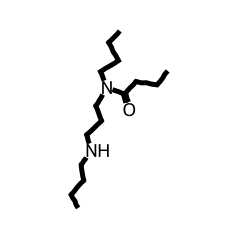 CCCCNCCCN(CCCC)C(=O)CCC